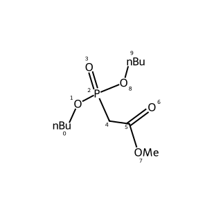 CCCCOP(=O)(CC(=O)OC)OCCCC